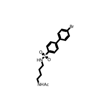 CC(=O)NCCCCNS(=O)(=O)c1ccc(-c2ccc(Br)cc2)cc1